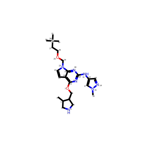 CC1CNCC1COc1nc(Nc2cnn(C)c2)nc2c1ccn2COCC[Si](C)(C)C